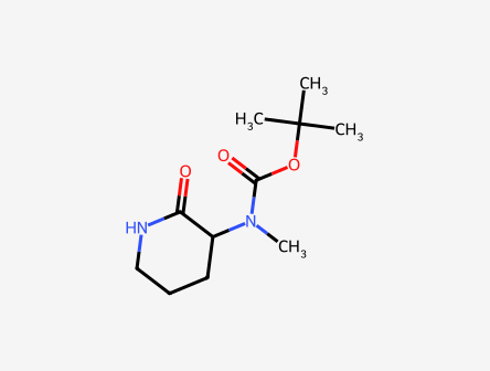 CN(C(=O)OC(C)(C)C)C1CCCNC1=O